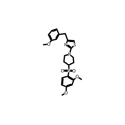 COc1cccc(Cc2csc(N3CCC(S(=O)(=O)c4ccc(OC)cc4OC)CC3)n2)c1